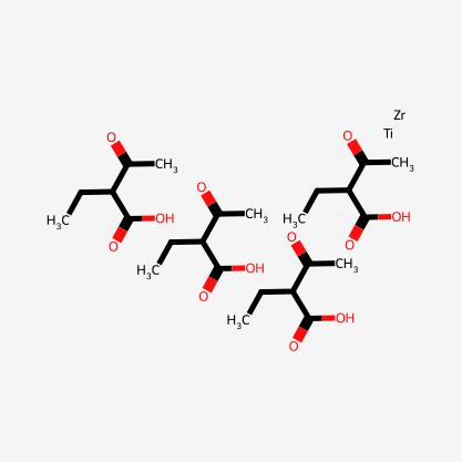 CCC(C(C)=O)C(=O)O.CCC(C(C)=O)C(=O)O.CCC(C(C)=O)C(=O)O.CCC(C(C)=O)C(=O)O.[Ti].[Zr]